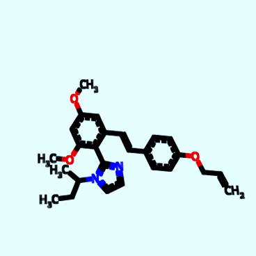 C=CCOc1ccc(C=Cc2cc(OC)cc(OC)c2-c2nccn2C(C)CC)cc1